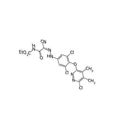 CCOC(=O)NC(=O)C(C#N)=NNc1cc(Cl)c(Oc2nnc(Cl)c(C)c2C)c(Cl)c1